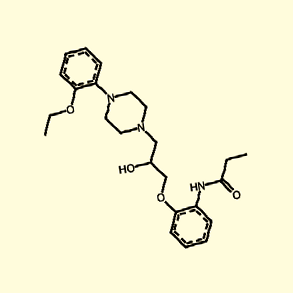 CCOc1ccccc1N1CCN(CC(O)COc2ccccc2NC(=O)CC)CC1